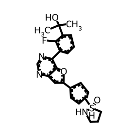 CC(C)(O)c1cccc(-c2ncnc3cc(-c4ccc([SH]5(=O)CCCN5)cc4)oc23)c1F